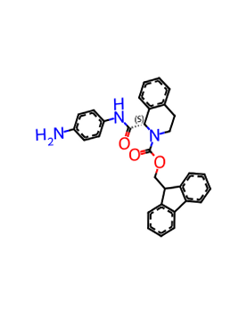 Nc1ccc(NC(=O)[C@@H]2c3ccccc3CCN2C(=O)OCC2c3ccccc3-c3ccccc32)cc1